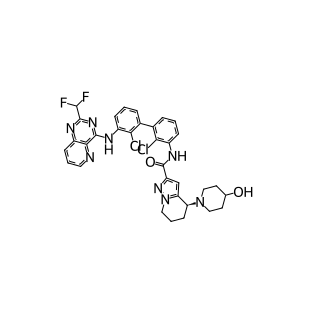 O=C(Nc1cccc(-c2cccc(Nc3nc(C(F)F)nc4cccnc34)c2Cl)c1Cl)c1cc2n(n1)CCC[C@@H]2N1CCC(O)CC1